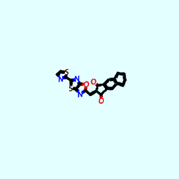 O=C1C(=Cc2nc3sc(-c4nccs4)nc3o2)C(=O)c2cc3ccccc3cc21